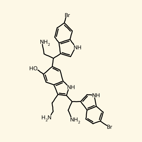 NCCc1c(C(CN)c2c[nH]c3cc(Br)ccc23)[nH]c2cc(C(CN)c3c[nH]c4cc(Br)ccc34)c(O)cc12